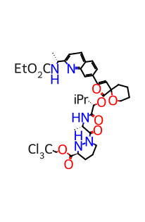 CCOC(=O)N[C@H](C)c1ccc2ccc(/C=C/C3(C(=O)O[C@H](C(=O)N[C@@H](C)C(=O)N4CCC[C@@H](C(=O)OCC(Cl)(Cl)Cl)N4)C(C)C)CCCCO3)cc2n1